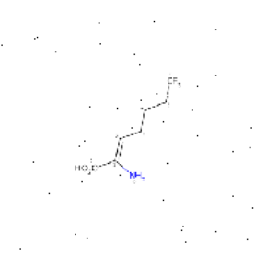 N/C(=C\CCCC(F)(F)F)C(=O)O